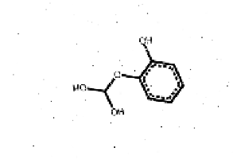 Oc1ccccc1OC(O)O